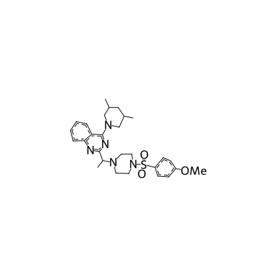 COc1ccc(S(=O)(=O)N2CCN(C(C)c3nc(N4CC(C)CC(C)C4)c4ccccc4n3)CC2)cc1